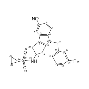 N#Cc1ccc2c(c1)c1c(n2Cc2cccc(F)n2)CC(NS(=O)(=O)C2CC2)C1